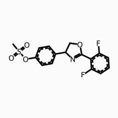 CS(=O)(=O)Oc1ccc(C2COC(c3c(F)cccc3F)=N2)cc1